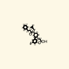 O=C(O)Cn1c2c(c3cc(F)ccc31)CC(N(CC1CC1)C(=O)CCc1ccccc1)CC2